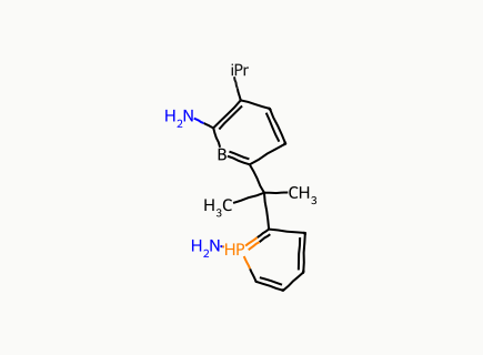 CC(C)c1ccc(C(C)(C)C2=[PH](N)C=CC=C2)bc1N